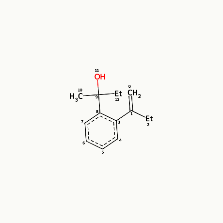 C=C(CC)c1ccccc1C(C)(O)CC